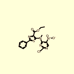 CCOC(=O)c1nc(-c2ccccc2)sc1N(C)c1nc(Cl)ncc1[N+](=O)[O-]